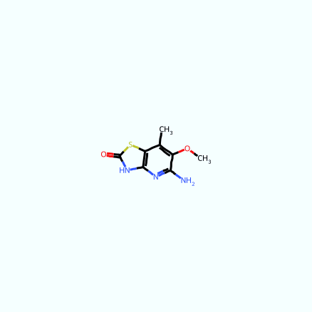 COc1c(N)nc2[nH]c(=O)sc2c1C